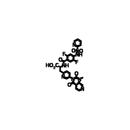 Cn1c(=O)n(-c2ccc(C[C@H](NC(=O)c3cc(F)c(NS(=O)(=O)c4ccccn4)cc3F)C(=O)O)nc2)c(=O)c2ccncc21